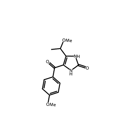 COc1ccc(C(=O)c2[nH]c(=O)[nH]c2C(C)OC)cc1